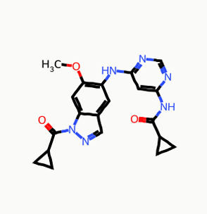 COc1cc2c(cnn2C(=O)C2CC2)cc1Nc1cc(NC(=O)C2CC2)ncn1